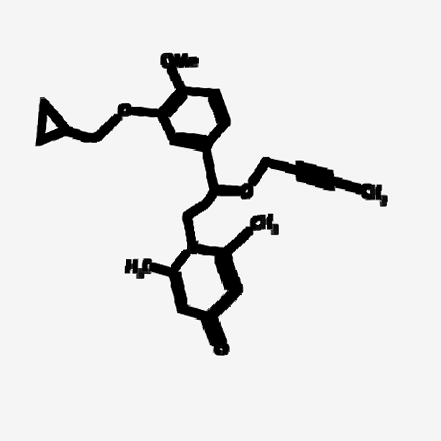 CC#CCOC(Cn1c(C)cc(=O)cc1C)c1ccc(OC)c(OCC2CC2)c1